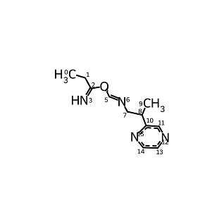 CCC(=N)O/C=N/CC(C)c1cnccn1